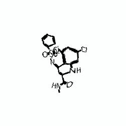 CNC(=O)c1c/c(=N/S(=O)(=O)c2ccccc2)c2c(Cl)cc(Cl)cc2[nH]1